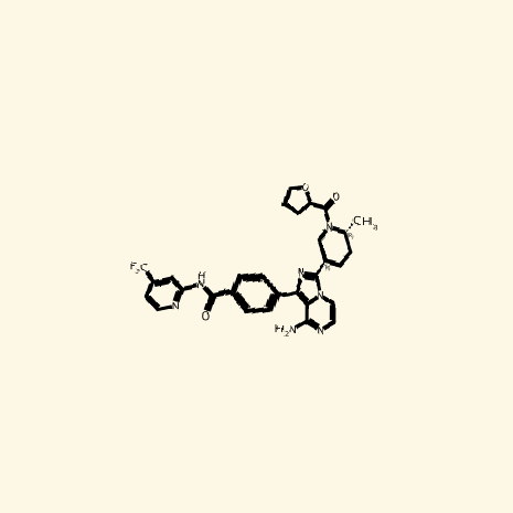 C[C@@H]1CC[C@@H](c2nc(-c3ccc(C(=O)Nc4cc(C(F)(F)F)ccn4)cc3)c3c(N)nccn23)CN1C(=O)C1CCCO1